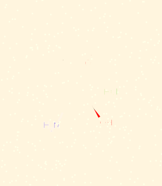 Cl.NC1CCOC[C@H]1O